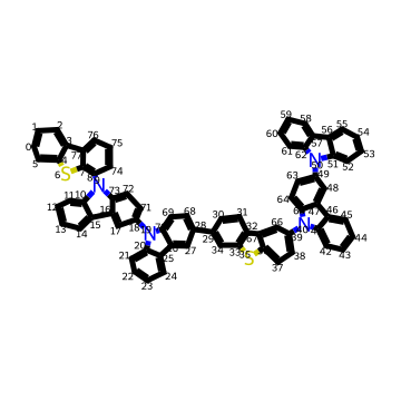 c1ccc2c(c1)sc1c(-n3c4ccccc4c4cc(-n5c6ccccc6c6cc(-c7ccc8c(c7)sc7ccc(-n9c%10ccccc%10c%10cc(-n%11c%12ccccc%12c%12ccccc%12%11)ccc%109)cc78)ccc65)ccc43)cccc12